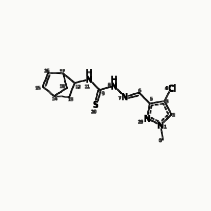 Cn1cc(Cl)c(C=NNC(=S)NC2CC3C=CC2C3)n1